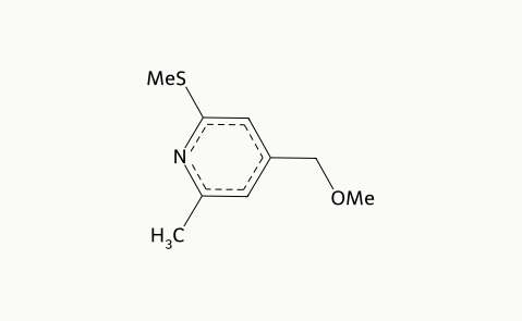 COCc1cc(C)nc(SC)c1